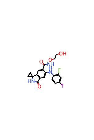 O=C(NOCCO)c1cc2c(cc1Nc1ccc(I)cc1F)C(=O)NC21CC1